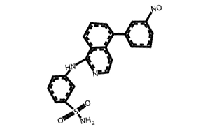 NS(=O)(=O)c1cccc(Nc2nccc3c(-c4cccc(N=O)c4)cccc23)c1